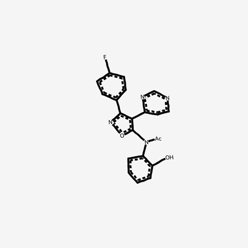 CC(=O)N(c1ccccc1O)c1onc(-c2ccc(F)cc2)c1-c1ccncn1